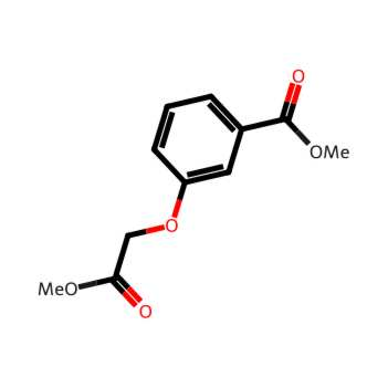 COC(=O)COc1cccc(C(=O)OC)c1